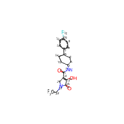 O=C(NC1CCC(c2ccc(F)cc2)CC1)C1=C(O)C(=O)N(CC(F)(F)F)C1